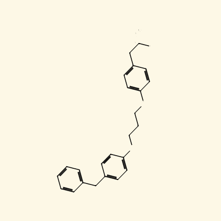 CO[C@@H](Cc1ccc(OCCCOc2ccc(Cc3ccccc3)cc2)cc1)C(=O)O